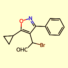 O=CC(Br)c1c(-c2ccccc2)noc1C1CC1